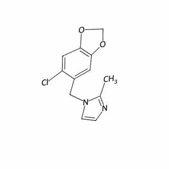 Cc1nccn1Cc1cc2c(cc1Cl)OCO2